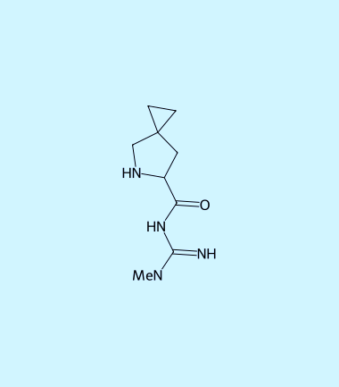 CNC(=N)NC(=O)C1CC2(CC2)CN1